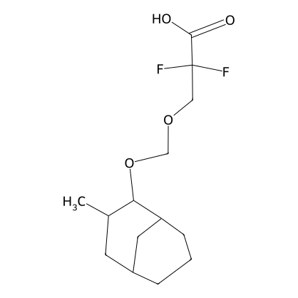 CC1CC2CCCC(C2)C1OCOCC(F)(F)C(=O)O